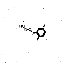 Cc1ccc(C)c(SOOO)c1